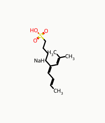 CC=CC=C(C=C(C)C)CCCCS(=O)(=O)O.[NaH]